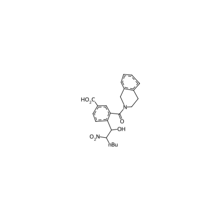 CCCCC(C(O)c1ccc(C(=O)O)cc1C(=O)N1CCc2ccccc2C1)[N+](=O)[O-]